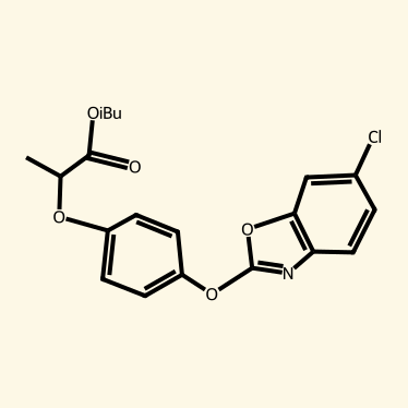 CC(C)COC(=O)C(C)Oc1ccc(Oc2nc3ccc(Cl)cc3o2)cc1